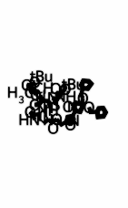 CC(C)(C)OC(=O)Nc1nc(/C(=N/OC(C)(C)C(=O)OC(C)(C)C)C(=O)N[C@@H]2C(=O)N[C@@H]2CNC(=O)OCc2cc(-c3cc(OCc4ccccc4)c(OCc4ccccc4)c[n+]3[O-])no2)cs1